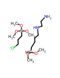 CO[SiH](CCCCNCCN)OC.CO[Si](CCCCl)(OC)OC